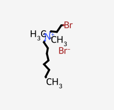 CCCCCCCC[N+](C)(C)CCCBr.[Br-]